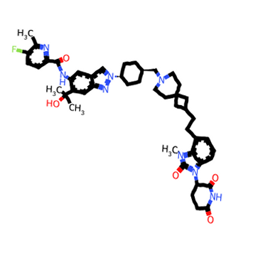 Cc1nc(C(=O)Nc2cc3cn([C@H]4CC[C@H](CN5CCC6(CC5)CC(CCc5cccc7c5n(C)c(=O)n7C5CCC(=O)NC5=O)C6)CC4)nc3cc2C(C)(C)O)ccc1F